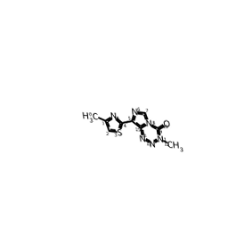 Cc1csc(-c2ncn3c(=O)n(C)nnc23)n1